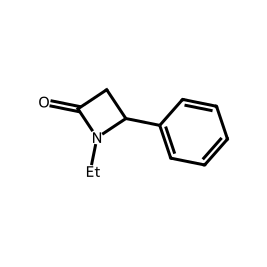 CCN1C(=O)CC1c1ccccc1